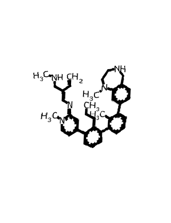 C=C/C(=C\N=c1\cc(-c2cccc(-c3cccc(-c4ccc5c(c4)N(C)CCNC5)c3C)c2CCC)ccn1C)CNC